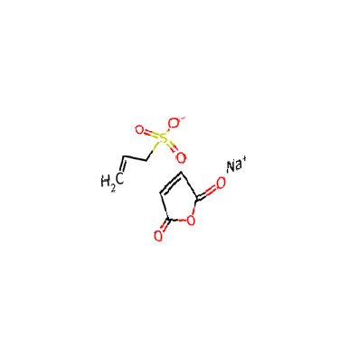 C=CCS(=O)(=O)[O-].O=C1C=CC(=O)O1.[Na+]